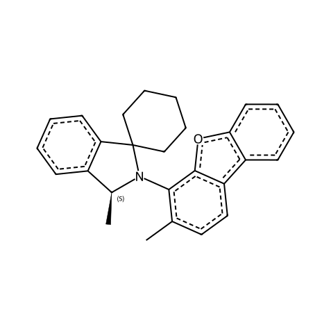 Cc1ccc2c(oc3ccccc32)c1N1[C@@H](C)c2ccccc2C12CCCCC2